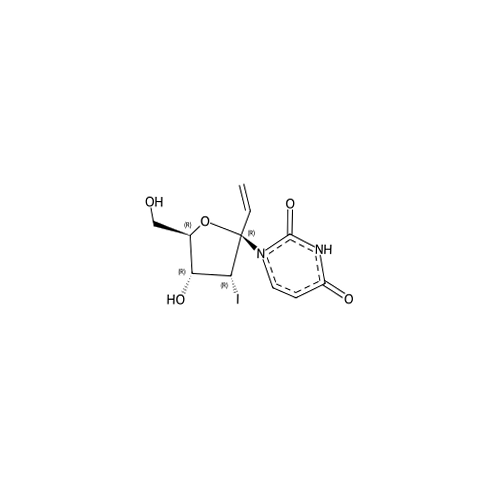 C=C[C@@]1(n2ccc(=O)[nH]c2=O)O[C@H](CO)[C@@H](O)[C@H]1I